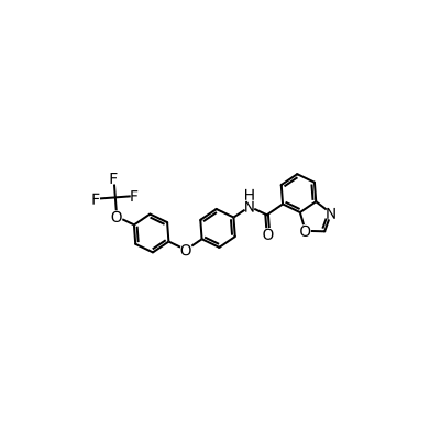 O=C(Nc1ccc(Oc2ccc(OC(F)(F)F)cc2)cc1)c1cccc2ncoc12